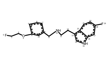 FCCOc1cccc(CNCCc2c[nH]c3cc(F)ccc23)c1